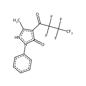 Cc1[nH]n(-c2ccccc2)c(=O)c1C(=O)C(F)(F)C(F)(F)C(F)(F)F